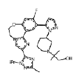 Cc1nc(-c2cn3c(n2)-c2cc(-c4ccnn4[C@@H]4CCCN(C(C)(C)CO)C4)c(F)cc2OCC3)n(C(C)C)n1